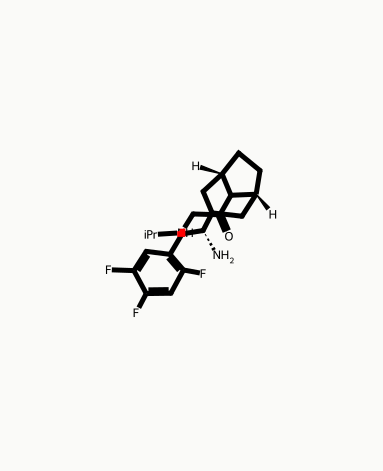 CC(C)NCC(=O)C1[C@@H]2CC[C@H]1CC([C@H](N)Cc1cc(F)c(F)cc1F)C2